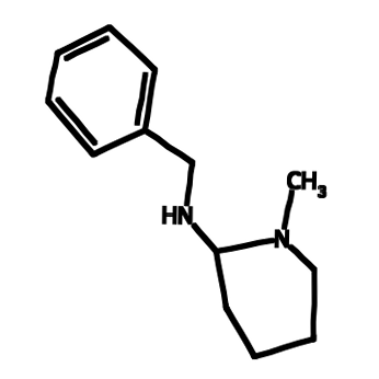 CN1CCCCC1NCc1ccccc1